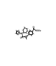 CNC(=O)c1ccc(C2CC2C(=O)N(c2nccs2)C2CCCCC2)cc1